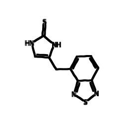 S=c1[nH]cc(Cc2cccc3nsnc23)[nH]1